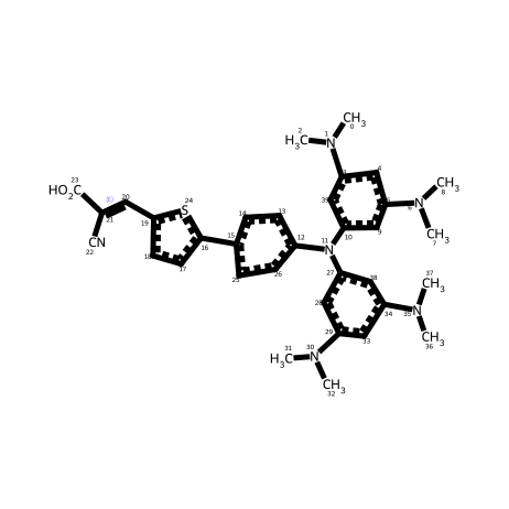 CN(C)c1cc(N(C)C)cc(N(c2ccc(-c3ccc(/C=C(\C#N)C(=O)O)s3)cc2)c2cc(N(C)C)cc(N(C)C)c2)c1